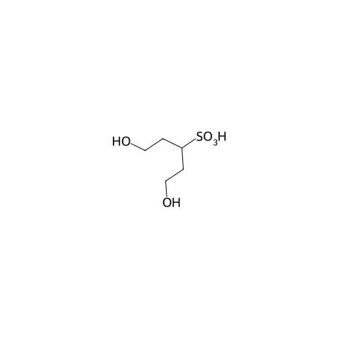 O=S(=O)(O)C(CCO)CCO